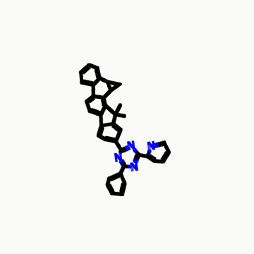 CC1(C)c2cc(-c3nc(-c4ccccc4)nc(-c4ccccn4)n3)ccc2-c2ccc3c(c21)C1CC1c1ccccc1-3